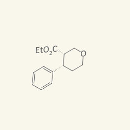 CCOC(=O)[C@@H]1COCC[C@@H]1c1ccccc1